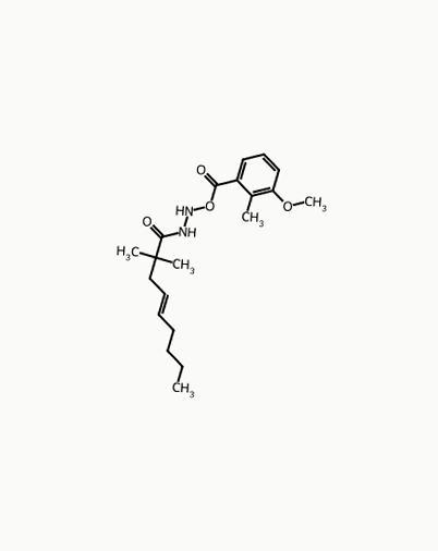 CCCCC=CCC(C)(C)C(=O)NNOC(=O)c1cccc(OC)c1C